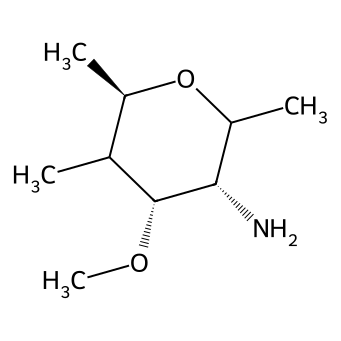 CO[C@@H]1C(C)[C@@H](C)OC(C)[C@@H]1N